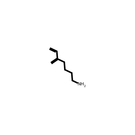 C=CC(=C)CCCCN